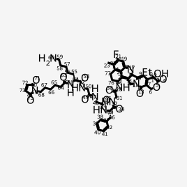 CC[C@@]1(O)C(=O)OCc2c1cc1n(c2=O)Cc2c-1nc1cc(F)c(C)c3c1c2[C@@H](NC(=O)CNC(=O)[C@H](Cc1ccccc1)NC(=O)CNC(=O)CNC(=O)[C@H](CCCCCN)NC(=O)CCCCCN1C(=O)C=CC1=O)CC3